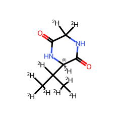 [2H]C1([2H])NC(=O)[C@@]([2H])(C([2H])(C([2H])([2H])[2H])C([2H])([2H])[2H])NC1=O